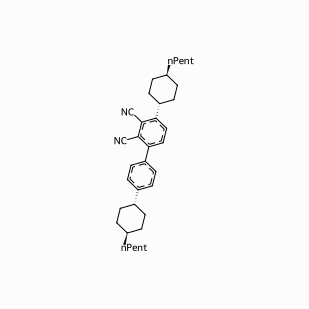 CCCCC[C@H]1CC[C@H](c2ccc(-c3ccc([C@H]4CC[C@H](CCCCC)CC4)c(C#N)c3C#N)cc2)CC1